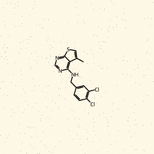 Cc1csc2ncnc(NCc3ccc(Cl)c(Cl)c3)c12